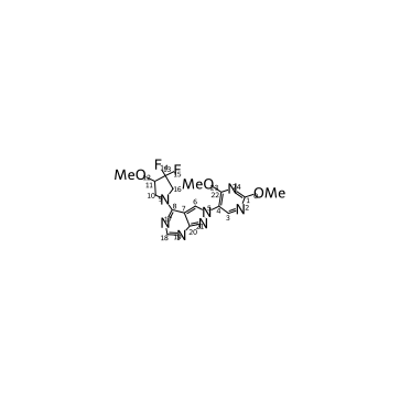 COc1ncc(-n2cc3c(N4CC(OC)C(F)(F)C4)ncnc3n2)c(OC)n1